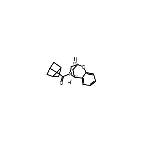 O=C(N1C[C@@H]2C[C@H]1c1ccccc1O2)C12C3CC1CC2C3